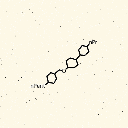 CCCCCC1CCC(COC2CCC(C3CCC(CCC)CC3)CC2)CC1